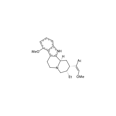 CC[C@@H]1CN2CCc3c([nH]c4cccc(OC)c34)[C@H]2C[C@@H]1/C(=C\OC)C(C)=O